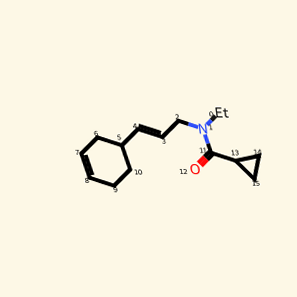 CCN(C/C=C/C1CC=CCC1)C(=O)C1CC1